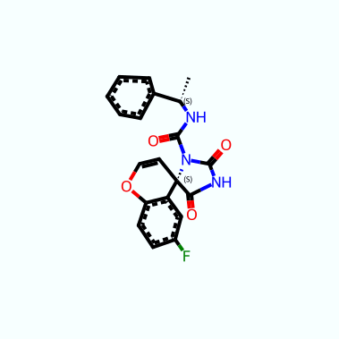 C[C@H](NC(=O)N1C(=O)NC(=O)[C@@]12C=COc1ccc(F)cc12)c1ccccc1